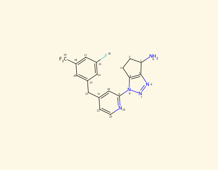 NC1CCc2c1nnn2-c1cc(Cc2cc(F)cc(C(F)(F)F)c2)ccn1